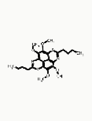 CCCCC1=Nc2c(OC)c(OC)c3c4c(c(OC)c(OC)c(c24)S1)N=C(CCCC)S3